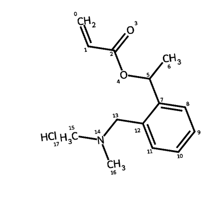 C=CC(=O)OC(C)c1ccccc1CN(C)C.Cl